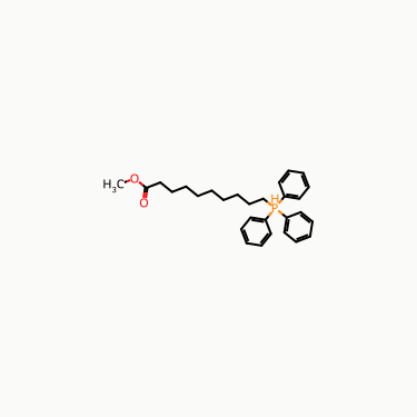 COC(=O)CCCCCCCCC[PH](c1ccccc1)(c1ccccc1)c1ccccc1